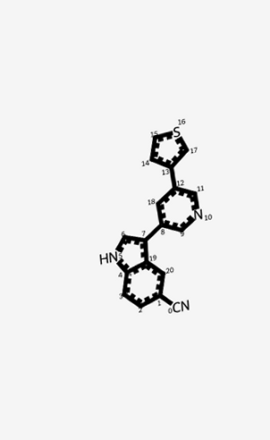 N#Cc1ccc2[nH]cc(-c3cncc(-c4ccsc4)c3)c2c1